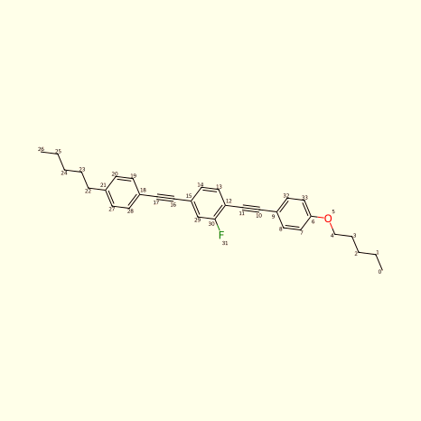 CCCCCOc1ccc(C#Cc2ccc(C#Cc3ccc(CCCCC)cc3)cc2F)cc1